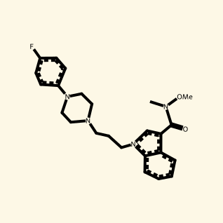 CON(C)C(=O)c1cn(CCCN2CCN(c3ccc(F)cc3)CC2)c2ccccc12